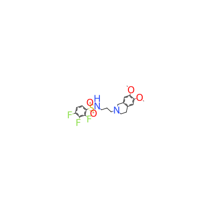 COc1cc2c(cc1OC)CN(CCCNS(=O)(=O)c1ccc(F)c(F)c1F)CC2